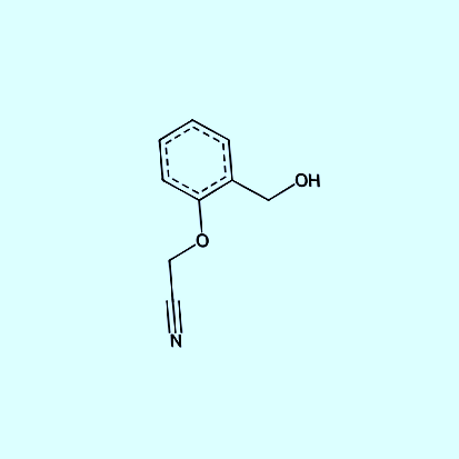 N#CCOc1ccccc1CO